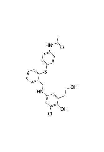 CC(=O)Nc1ccc(Sc2ccccc2CNc2cc(Cl)c(O)c(CCO)c2)cc1